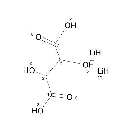 O=C(O)C(O)C(O)C(=O)O.[LiH].[LiH]